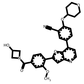 COc1cc(C(=O)N2CC(O)C2)ccc1-c1cc2nccc(-c3ccc(OC4CCOCC4)c(C#N)c3)c2o1